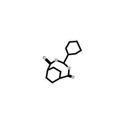 O=C1OC(C2CCCCC2)OC(=O)C2CCC1CC2